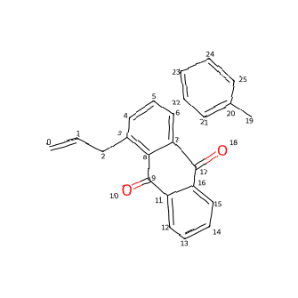 C=CCc1cccc2c1C(=O)c1ccccc1C2=O.Cc1ccccc1